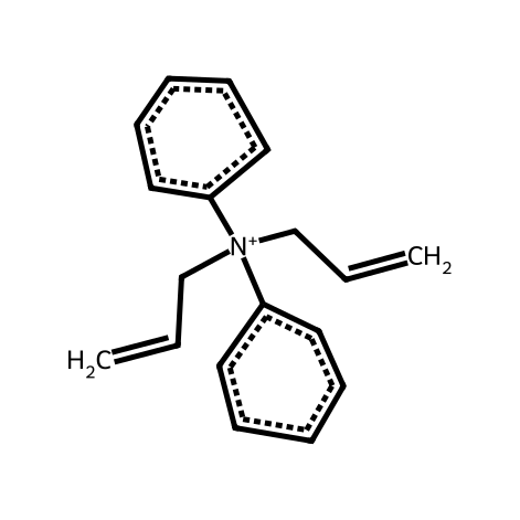 C=CC[N+](CC=C)(c1ccccc1)c1ccccc1